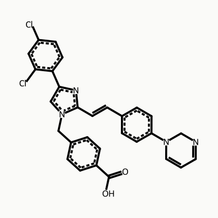 O=C(O)c1ccc(Cn2cc(-c3ccc(Cl)cc3Cl)nc2/C=C/c2ccc(N3C=CC=NC3)cc2)cc1